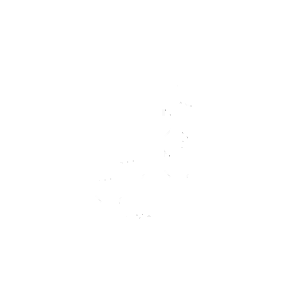 COc1cccc2ccc(-c3cccc4nc(NC(=O)C5CC5)cn34)cc12